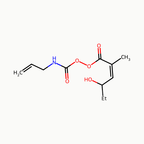 C=CCNC(=O)OOC(=O)C(C)=CC(O)CC